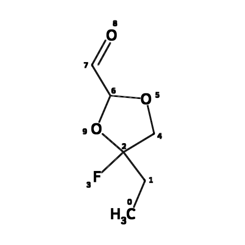 CCC1(F)COC(C=O)O1